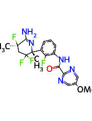 COc1cnc(C(=O)Nc2cccc([C@@]3(C)N=C(N)[C@](C)(F)CC3(F)F)c2F)nc1